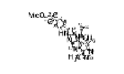 COCCS(=O)(=O)c1ccc(CNc2nc3cnc(-c4c(C)ncnc4C4CC4)nc3n([C@@H](C)C3CC3)c2=O)cc1